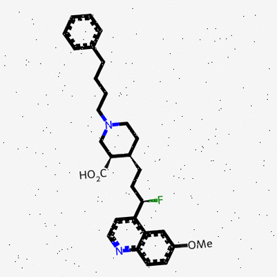 COc1ccc2nccc([C@H](F)CC[C@@H]3CCN(CCCCc4ccccc4)C[C@@H]3C(=O)O)c2c1